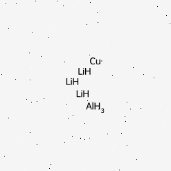 [AlH3].[Cu].[LiH].[LiH].[LiH]